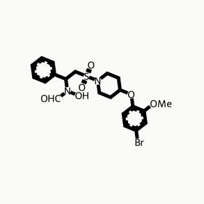 COc1cc(Br)ccc1OC1CCN(S(=O)(=O)CC(c2ccccc2)N(O)C=O)CC1